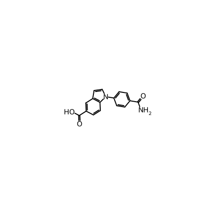 NC(=O)c1ccc(-n2ccc3cc(C(=O)O)ccc32)cc1